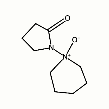 O=C1CCCN1[N+]1([O-])CCCCC1